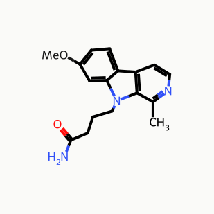 COc1ccc2c3ccnc(C)c3n(CCCC(N)=O)c2c1